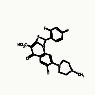 CN1CCN(c2cc3c(cc2F)c(=O)c(C(=O)O)c2n3C(c3ccc(F)cc3F)S2)CC1